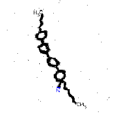 CCCCCCCC1(C#N)CCC(c2ccc(-c3ccc(C4CCC(CCCCC)CC4)cc3)cc2)CC1